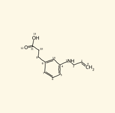 C=CCNc1cccc(CCC(=O)O)c1